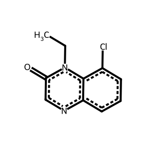 CCn1c(=O)cnc2cccc(Cl)c21